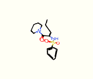 CCCC(NS(=O)(=O)c1ccccc1)C(=O)N1CCCCC1